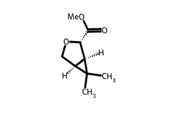 COC(=O)[C@H]1OC[C@H]2[C@@H]1C2(C)C